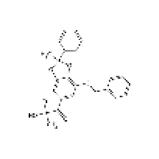 CCC(C)(O)C(=O)c1cc(OCc2ccccc2)c2c(c1)OC(C)(c1ccccc1)O2